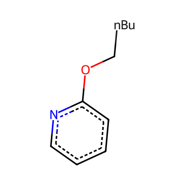 [CH2]CCCCOc1ccccn1